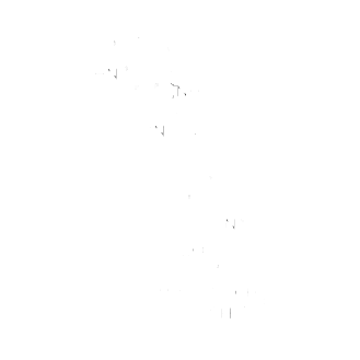 CC(C)(C)c1cnc(/C=C/c2cnc(N[C@@H]3CCCNC3)s2)o1